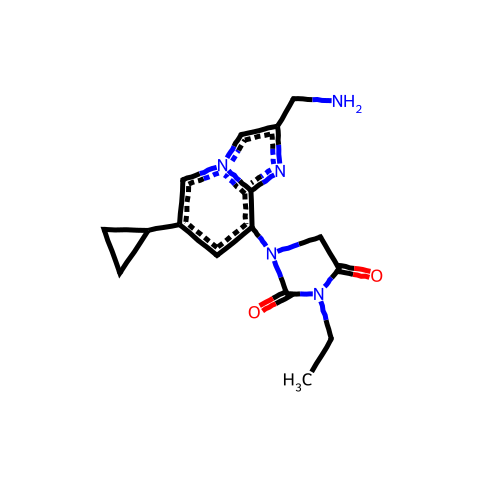 CCN1C(=O)CN(c2cc(C3CC3)cn3cc(CN)nc23)C1=O